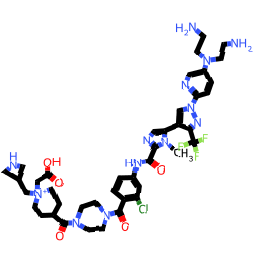 Cn1c(-c2cn(-c3ccc(N(CCN)CCN)cn3)nc2C(F)(F)F)cnc1C(=O)Nc1ccc(C(=O)N2CCN(C(=O)C3CC[N+](CC(=O)O)(CC4CNC4)CC3)CC2)c(Cl)c1